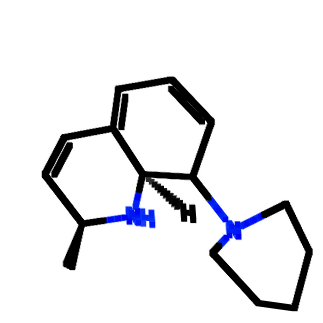 C[C@H]1C=CC2=CC=CC(N3CCCCC3)[C@H]2N1